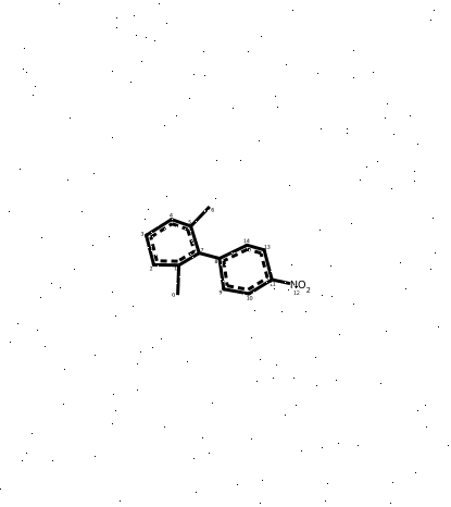 Cc1cccc(C)c1-c1ccc([N+](=O)[O-])cc1